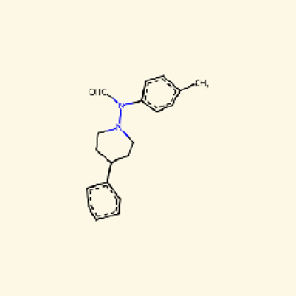 Cc1ccc(N(C=O)N2CCC(c3ccccc3)CC2)cc1